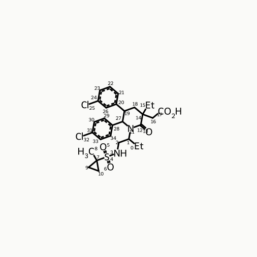 CCC(CNS(=O)(=O)C1(C)CC1)N1C(=O)C(CC)(CC(=O)O)CC(c2cccc(Cl)c2)C1c1ccc(Cl)cc1